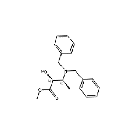 COC(=O)[C@@H](O)[C@H](C)N(Cc1ccccc1)Cc1ccccc1